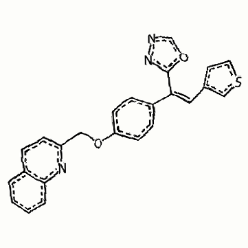 C(=C(c1ccc(OCc2ccc3ccccc3n2)cc1)c1nnco1)c1ccsc1